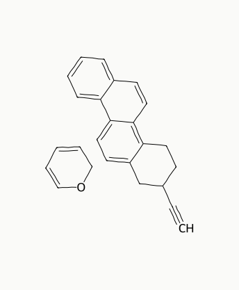 C#CC1CCc2c(ccc3c2ccc2ccccc23)C1.C1=CCOC=C1